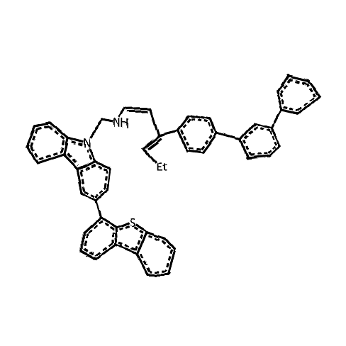 CC/C=C(/C=C\NCn1c2ccccc2c2cc(-c3cccc4c3sc3ccccc34)ccc21)c1ccc(-c2cccc(-c3ccccc3)c2)cc1